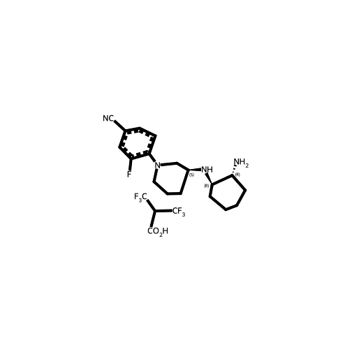 N#Cc1ccc(N2CCC[C@H](N[C@@H]3CCCC[C@H]3N)C2)c(F)c1.O=C(O)C(C(F)(F)F)C(F)(F)F